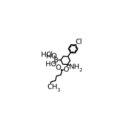 CCCCCC(=O)OC1(N)CC(B(O)O)CC(c2ccc(Cl)cc2)C1.Cl